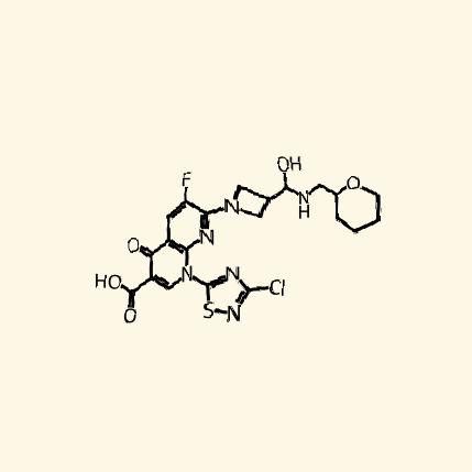 O=C(O)c1cn(-c2nc(Cl)ns2)c2nc(N3CC(C(O)NCC4CCCCO4)C3)c(F)cc2c1=O